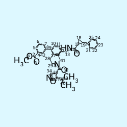 COC(=O)c1cccc(-c2ccc(CNC(=O)C3CC3c3ccccc3)c3c2CCN(C(=O)c2cnoc2C(C)C)C3)c1